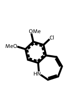 COc1cc2c(c(Cl)c1OC)C=CC=CN2